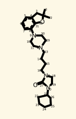 CC1(C)Cc2cccc(N3CCN(CCCCN4CCN(C5CCCCC5)C4=O)CC3)c2O1